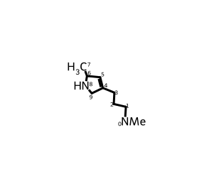 CNCCCC1=CC(C)NC1